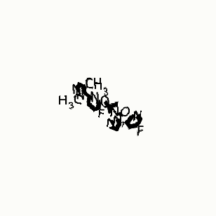 Cc1cnn(C)c1-c1ccc(F)c(OC2CN(C(=O)N3N=CC[C@H]3c3cncc(F)c3)C2)n1